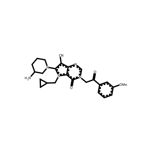 COc1cccc(C(=O)Cn2cnc3c(C#N)c(N4CCCC(N)C4)n(CC4CC4)c3c2=O)c1